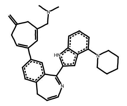 C=C1CC=C(c2ccc3c(c2)C(c2cc4c(N5CCCCC5)cccc4[nH]2)=NC=CC3)C=C(CN(C)C)C1